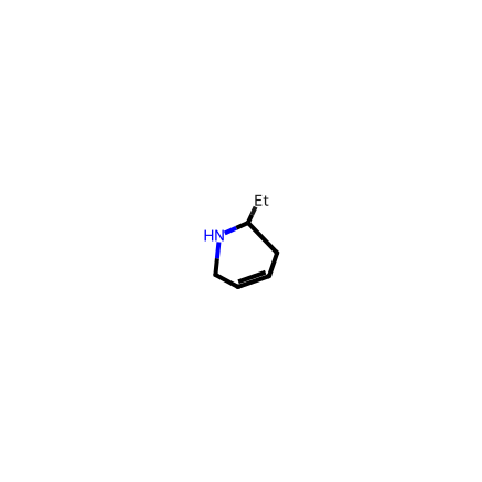 [CH2]CC1CC=CCN1